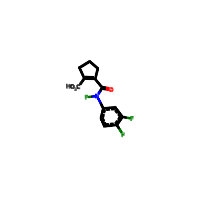 O=C(O)C1=C(C(=O)N(F)c2ccc(F)c(F)c2)CCC1